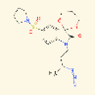 CC(CCN1C(=O)C2(OCCCO2)c2cc(S(=O)(=O)N3CCCC3)ccc21)N=[N+]=[N-]